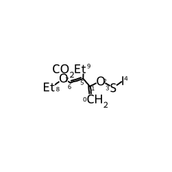 C=C(OSI)/C(=C/OCC)C(=O)OCC